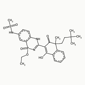 CCOP1(=O)N=C(C2=C(O)c3ccccc3C(C)(CCC(C)(C)C)C2=O)Nc2ccc(NS(C)(=O)=O)cc21